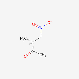 CC(=O)[C@H](C)C[N+](=O)[O-]